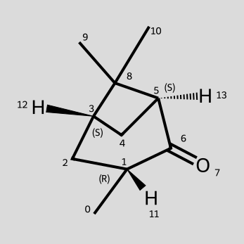 C[C@@H]1C[C@H]2C[C@H](C1=O)C2(C)C